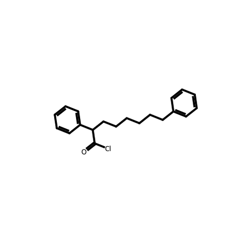 O=C(Cl)C(CCCCCCc1ccccc1)c1ccccc1